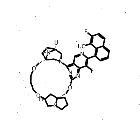 Cc1c(F)ccc2cccc(-c3ncc4c5nc(nc4c3F)OC[C@]34CCCN3C[C@@H](C4)OCCCOC[C@@]34CC[C@@H](CN5C3)N4)c12